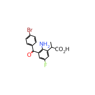 CC(C(=O)O)c1cc(F)cc(C(=O)c2ccc(Br)cc2)c1N